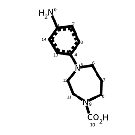 Nc1ccc(N2CCCN(C(=O)O)CC2)cc1